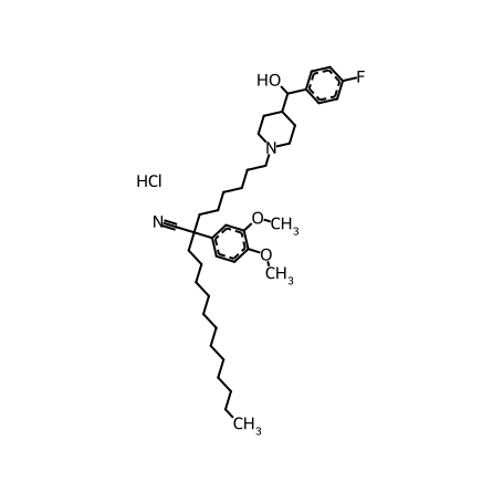 CCCCCCCCCCCCC(C#N)(CCCCCCN1CCC(C(O)c2ccc(F)cc2)CC1)c1ccc(OC)c(OC)c1.Cl